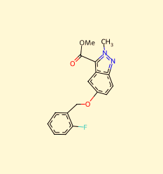 COC(=O)c1c2cc(OCc3ccccc3F)ccc2nn1C